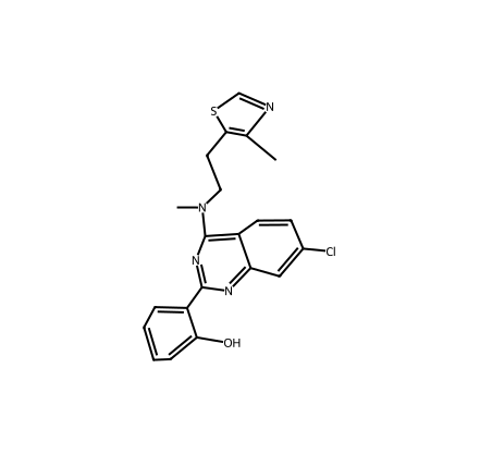 Cc1ncsc1CCN(C)c1nc(-c2ccccc2O)nc2cc(Cl)ccc12